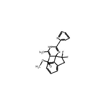 COC(=O)C1=C(C)NC(c2ccccn2)=NC12c1ccccc1CC2(F)F